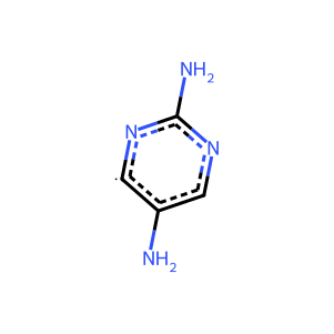 Nc1[c]nc(N)nc1